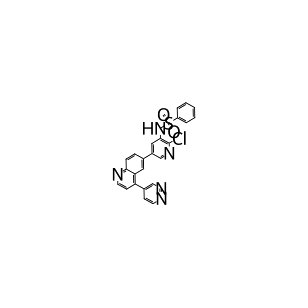 O=S(=O)(Nc1cc(-c2ccc3nccc(-c4ccnnc4)c3c2)cnc1Cl)c1ccccc1